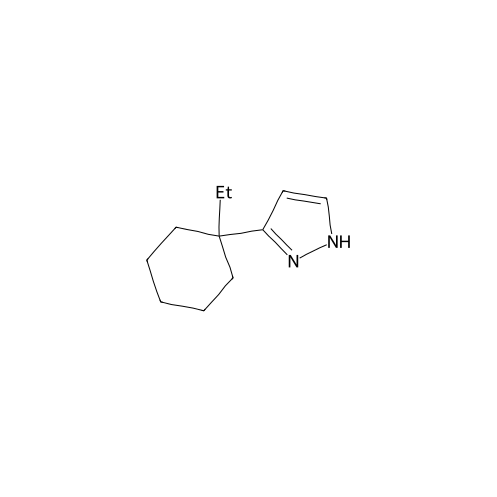 CCC1(c2cc[nH]n2)CCCCC1